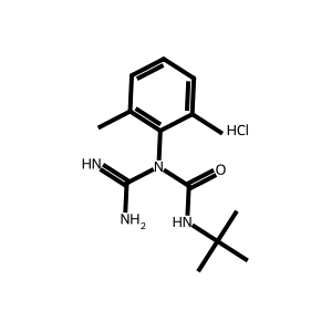 Cc1cccc(C)c1N(C(=N)N)C(=O)NC(C)(C)C.Cl